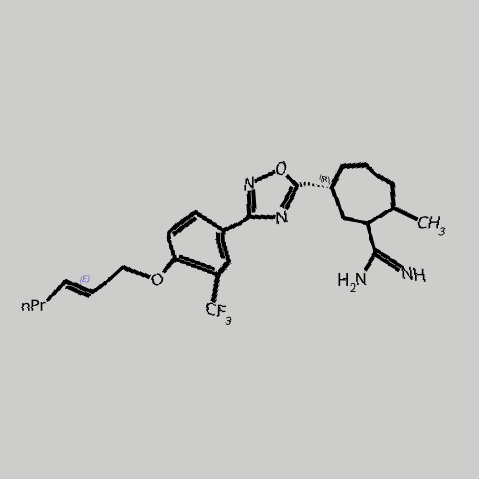 CCC/C=C/COc1ccc(-c2noc([C@@H]3CCCC(C)C(C(=N)N)C3)n2)cc1C(F)(F)F